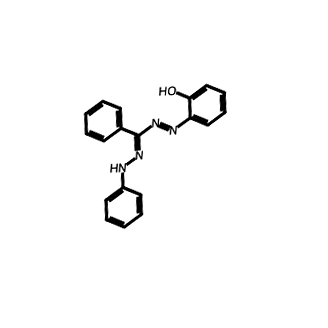 Oc1ccccc1N=NC(=NNc1ccccc1)c1ccccc1